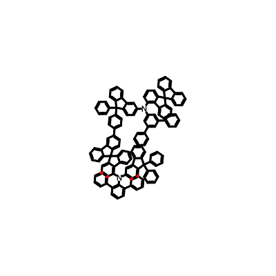 c1ccc(-c2cc(-c3ccccc3)cc(N(c3ccc4c(c3)-c3ccccc3C4(c3ccccc3)c3ccc(-c4ccc5c(c4)-c4ccccc4C54c5ccccc5-c5c(N(c6ccc7c(c6)-c6ccccc6C7(c6ccccc6)c6ccccc6)c6c(-c7ccccc7)cccc6-c6ccccc6)cccc54)cc3)c3cccc4c3-c3ccccc3C43c4ccccc4-c4ccccc43)c2)cc1